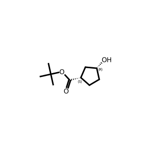 CC(C)(C)OC(=O)[C@H]1CC[C@@H](O)C1